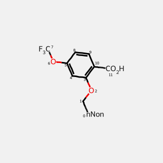 CCCCCCCCCCOc1cc(OC(F)(F)F)ccc1C(=O)O